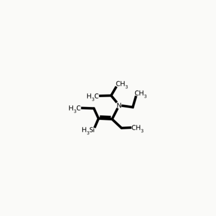 CCC([SiH3])=C(CC)N(CC)C(C)C